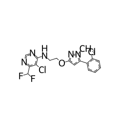 Cn1nc(OCCNc2ncnc(C(F)F)c2Cl)cc1-c1ccccc1Cl